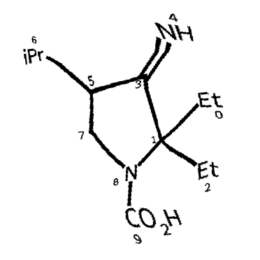 CCC1(CC)C(=N)C(C(C)C)CN1C(=O)O